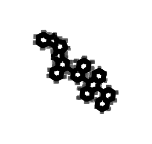 c1ccc2c(-c3c4ccccc4c(-c4ccc(-c5cc6c7ccc8sc9ccccc9c8c7sc6c6ccccc56)c5ccccc45)c4ccccc34)cccc2c1